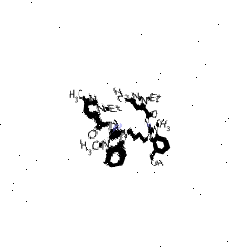 CCn1nc(C)cc1C(=O)/N=c1\n(C)c2ccccc2n1CCCCn1/c(=N/C(=O)c2cc(C)nn2CC)n(C)c2cccc(CO)c21